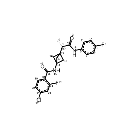 C[C@H](C(=O)Nc1ccc(F)cc1)C12CC(NC(=O)c3ccc(Cl)cc3F)(C1)C2